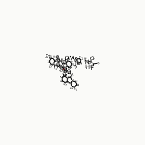 C=C(F)C(=O)NCc1cnn(Cc2cc(OC)c3c(NS(=O)(=O)c4cc(CC)ccc4OCCNC(=O)OCC4c5ccccc5-c5ccccc54)noc3c2)c1